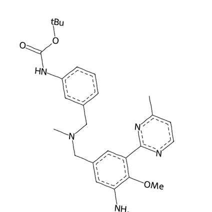 COc1c(N)cc(CN(C)Cc2cccc(NC(=O)OC(C)(C)C)c2)cc1-c1nccc(C)n1